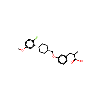 COc1ccc(F)c([C@H]2CC[C@H](COc3cccc(CC(C)C(=O)O)c3)CC2)c1